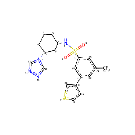 O=S(=O)(N[C@H]1CCC[C@@H](n2cnnc2)C1)c1cc(-c2ccsc2)cc(C(F)(F)F)c1